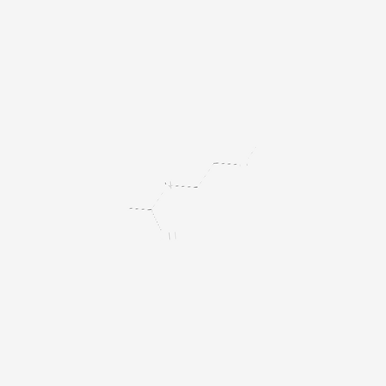 COCC[N]C(C)C